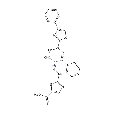 COC(=O)c1cnc(N/N=C(C=O)\C(=N/N(C)c2nc(-c3ccccc3)cs2)c2ccccc2)s1